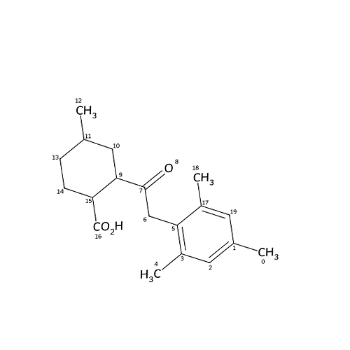 Cc1cc(C)c(CC(=O)C2CC(C)CCC2C(=O)O)c(C)c1